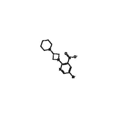 O=[N+]([O-])c1cc(Br)cnc1N1CC(N2CCCCC2)C1